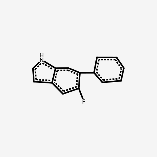 Fc1cc2cc[nH]c2cc1-c1ccccc1